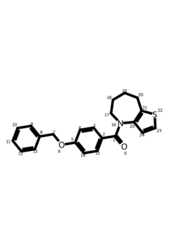 O=C(c1ccc(OCc2ccccc2)cc1)N1CCCCc2sccc21